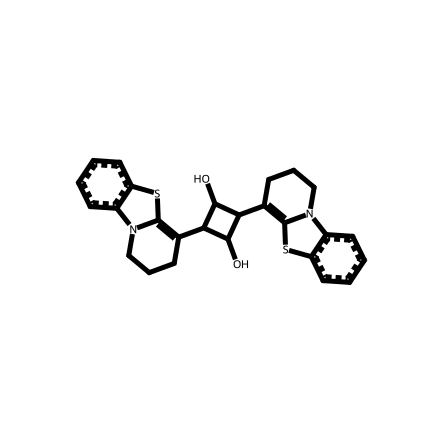 OC1C(C2=C3Sc4ccccc4N3CCC2)C(O)C1C1=C2Sc3ccccc3N2CCC1